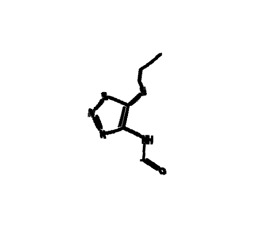 CCSc1snnc1N[C]=O